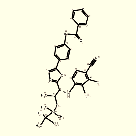 Cc1c(N[C@@H](c2nnc(-c3ccc(NC(=O)c4ccccc4)cc3)o2)[C@H](C)O[Si](C)(C)C(C)(C)C)ccc(C#N)c1Cl